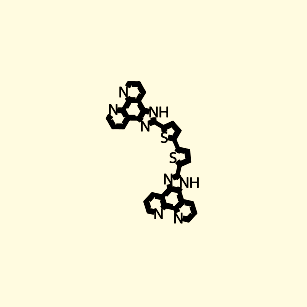 c1cnc2c(c1)c1nc(-c3ccc(-c4ccc(-c5nc6c7cccnc7c7ncccc7c6[nH]5)s4)s3)[nH]c1c1cccnc12